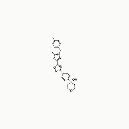 Cc1ccc(Cn2nc(-c3nc(-c4ccc(C5(O)CCOCC5)cc4)no3)cc2C)cc1